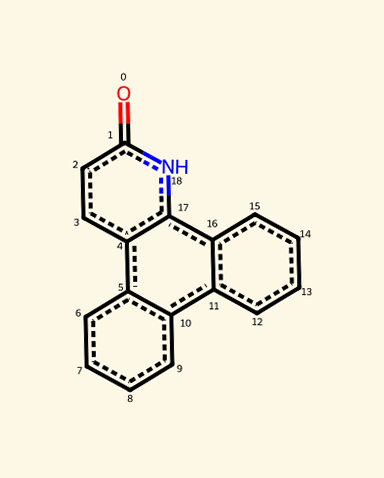 O=c1[c]cc2c3ccccc3c3ccccc3c2[nH]1